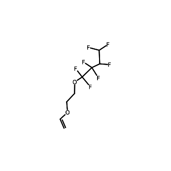 C=COCCOC(F)(F)C(F)(F)C(F)C(F)F